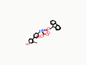 Cc1cc(O)ccc1-c1ccc(C[C@H](NC(=O)OCC2c3ccccc3-c3ccccc32)C(=O)O)cc1